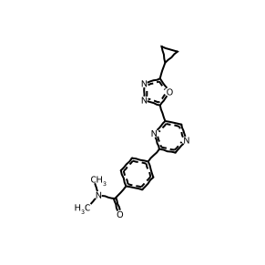 CN(C)C(=O)c1ccc(-c2cncc(-c3nnc(C4CC4)o3)n2)cc1